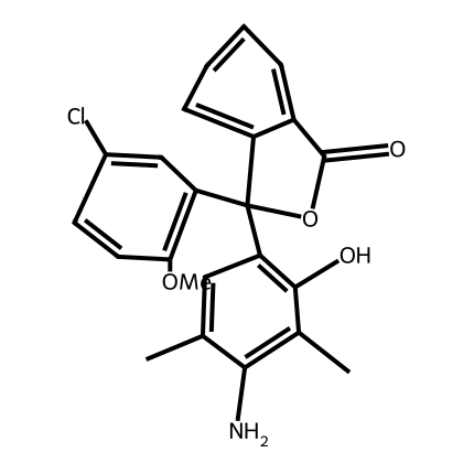 COc1ccc(Cl)cc1C1(c2cc(C)c(N)c(C)c2O)OC(=O)c2ccccc21